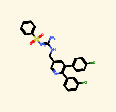 N/C(=N\S(=O)(=O)c1ccccc1)NCc1cnc(-c2cccc(Cl)c2)c(-c2ccc(Cl)cc2)c1